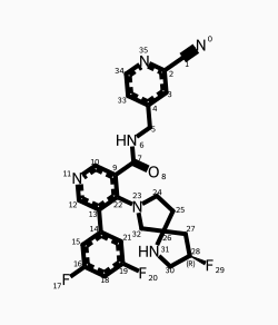 N#Cc1cc(CNC(=O)c2cncc(-c3cc(F)cc(F)c3)c2N2CCC3(C[C@@H](F)CN3)C2)ccn1